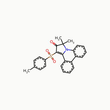 Cc1ccc(S(=O)(=O)C2=C3c4ccccc4-c4ccccc4N3C(C)(C)C2=O)cc1